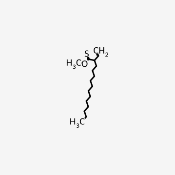 C=CC(CCCCCCCCCCCC)C(=S)OC